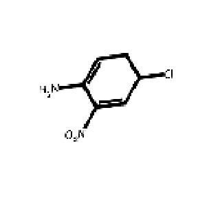 NC1=CCC(Cl)C=C1[N+](=O)[O-]